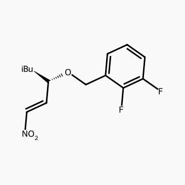 CC[C@H](C)[C@@H](C=C[N+](=O)[O-])OCc1cccc(F)c1F